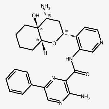 Nc1ncc(-c2ccccc2)nc1C(=O)Nc1cnccc1[C@H]1C[C@@H](N)[C@@]2(O)CCCC[C@H]2O1